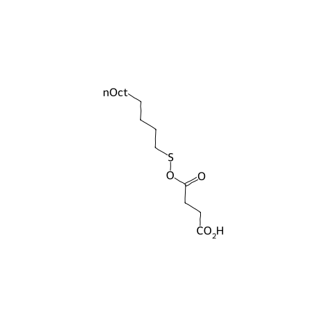 CCCCCCCCCCCCSOC(=O)CCC(=O)O